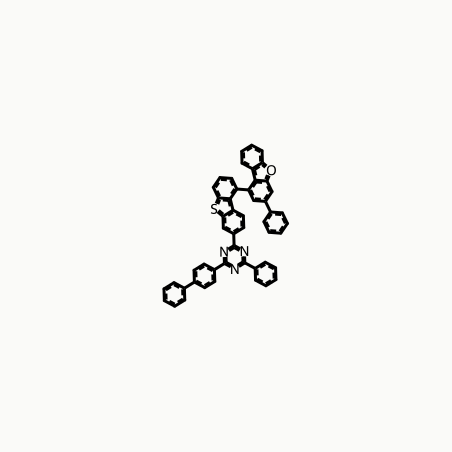 c1ccc(-c2ccc(-c3nc(-c4ccccc4)nc(-c4ccc5c(c4)sc4cccc(-c6cc(-c7ccccc7)cc7oc8ccccc8c67)c45)n3)cc2)cc1